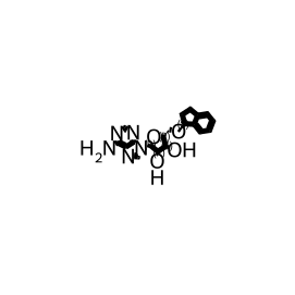 Nc1ncnc2c1ncn2[C@@H]1O[C@H](CO[C@H]2CCc3ccccc32)[C@@H](O)[C@H]1O